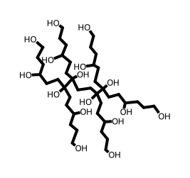 OCCCC(O)CCC(O)(CCC(O)CCCO)C(O)(CCC(O)CCCO)CCC(O)(CCC(O)CCCO)C(O)(CCC(O)CCCO)CCC(O)CCCO